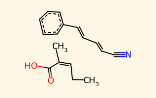 CCC=C(C)C(=O)O.N#CC=CC=Cc1ccccc1